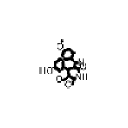 COc1ccc(-c2noc3c2C(c2cccc(O)c2)C2=C(COC2=O)N3)cc1